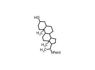 CCCCC[C@@H](C)C1CCC2C3CCC4CC(O)CCC4(C)C3CCC21C